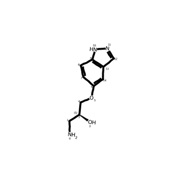 NC[C@H](O)COc1ccc2[nH]ncc2c1